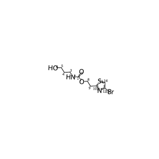 O=C(NCCCO)OCCc1nc(Br)cs1